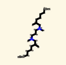 CCCCCCCCCCCCCCC(C)CN(C)CCCN(C)CC(C)CCCCCCCCCCCCCC